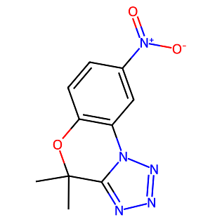 CC1(C)Oc2ccc([N+](=O)[O-])cc2-n2nnnc21